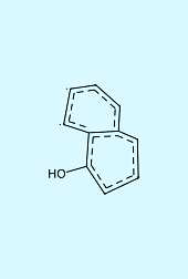 Oc1cccc2cc[c][c]c12